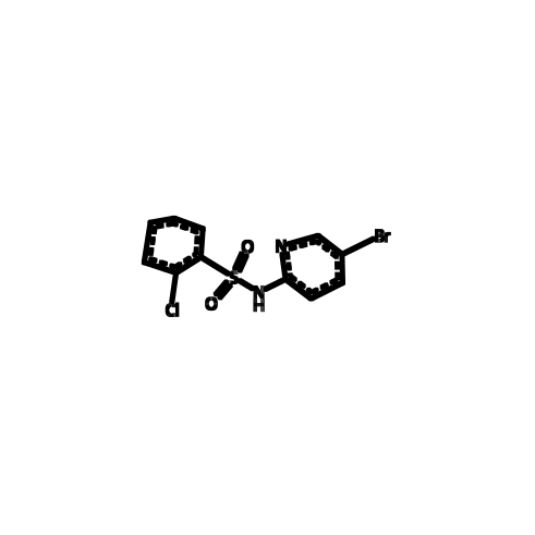 O=S(=O)(Nc1ccc(Br)cn1)c1ccccc1Cl